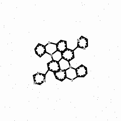 c1cnc(-c2ccc(-c3ccc(-c4ncncn4)cc3N3c4ccccc4Sc4ccccc43)c(N3c4ccccc4Sc4ccccc43)c2)nc1